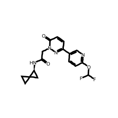 O=C(Cn1nc(-c2ccc(OC(F)F)nc2)ccc1=O)N[C@H]1CC12CC2